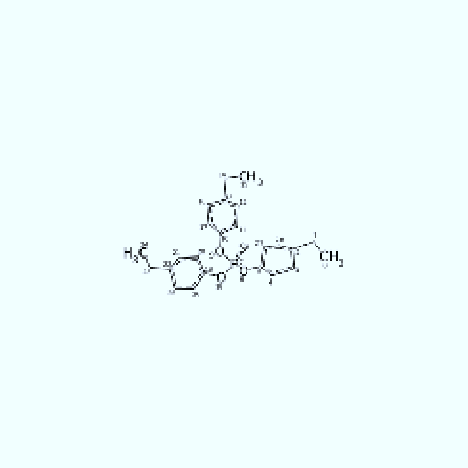 CCc1ccc(OP(=S)(Oc2ccc(CC)cc2)Oc2ccc(CC)cc2)cc1